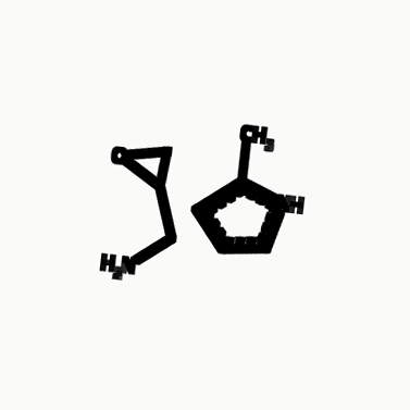 Cc1ccc[nH]1.NCC1CO1